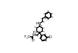 O=C(NCC1(c2cccc(Cl)c2)CCC(NCCc2ccccc2)CC1)C(F)(F)F